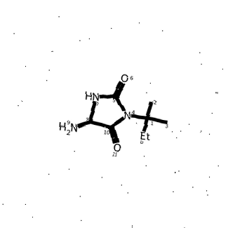 CCC(C)(C)N1C(=O)NC(N)C1=O